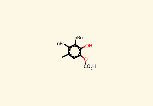 CCCCc1c(O)c(OC(=O)O)cc(C)c1CCC